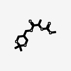 COC(=O)OC(C)C(=O)OCC1COC(C)(C)OC1